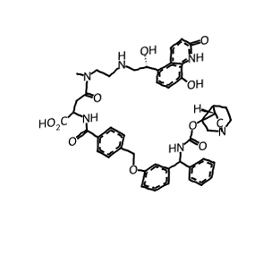 CN(CCNC[C@H](O)c1ccc(O)c2[nH]c(=O)ccc12)C(=O)CC(NC(=O)c1ccc(COc2cccc(C(NC(=O)O[C@H]3CN4CCC3CC4)c3ccccc3)c2)cc1)C(=O)O